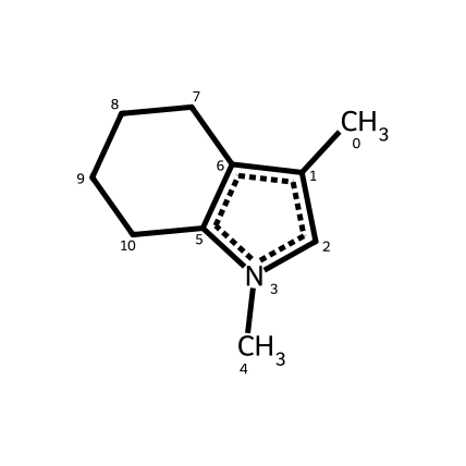 Cc1cn(C)c2c1CCCC2